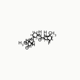 Cc1ccc(F)c2cc(C(=O)N[C@@H]3CCC[C@H](N4C[C@H]5CC(=O)N(C)[C@H]5C4)C3)[nH]c12